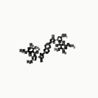 COC(=O)N[C@H](C(=O)N1C[C@@H](C)C[C@H]1c1nc(-c2ccc3cc(-c4c[nH]c([C@@H]5C[C@H](C)CN5C(=O)[C@@H](NC(=O)OC)C(C)C)n4)ccc3c2)c[nH]1)C(C)C